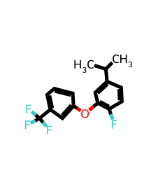 CC(C)c1ccc(F)c(Oc2cccc(C(F)(F)F)c2)c1